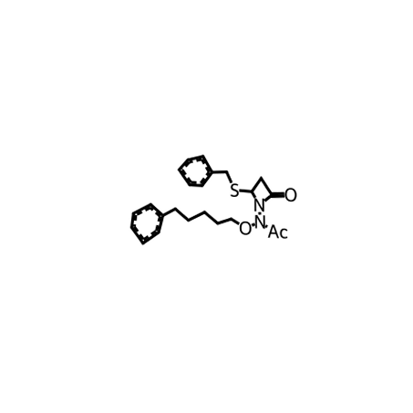 CC(=O)N(OCCCCCc1ccccc1)N1C(=O)CC1SCc1ccccc1